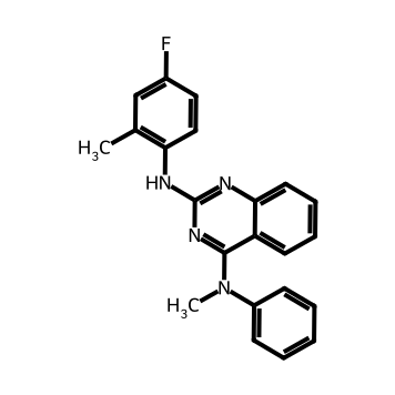 Cc1cc(F)ccc1Nc1nc(N(C)c2ccccc2)c2ccccc2n1